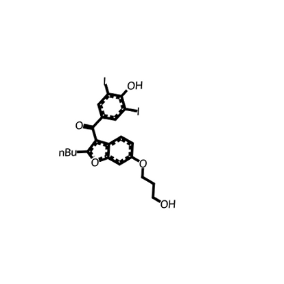 CCCCc1oc2cc(OCCCO)ccc2c1C(=O)c1cc(I)c(O)c(I)c1